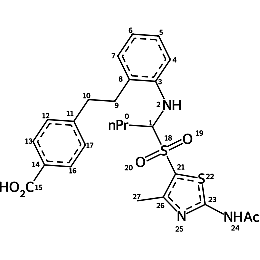 CCCC(Nc1ccccc1CCc1ccc(C(=O)O)cc1)S(=O)(=O)c1sc(NC(C)=O)nc1C